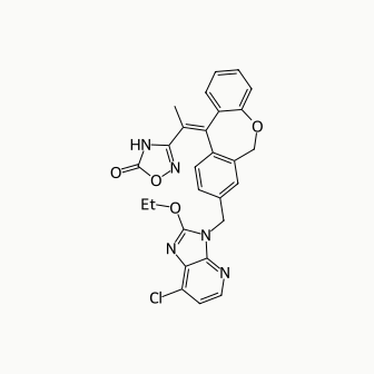 CCOc1nc2c(Cl)ccnc2n1Cc1ccc2c(c1)COc1ccccc1C2=C(C)c1noc(=O)[nH]1